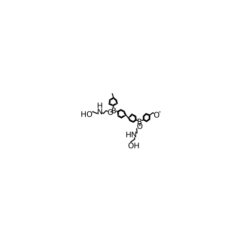 COCc1ccc(B(OCCNCCO)c2ccc(-c3ccc(B(OCCNCCO)c4ccc(C)cc4)cc3)cc2)cc1